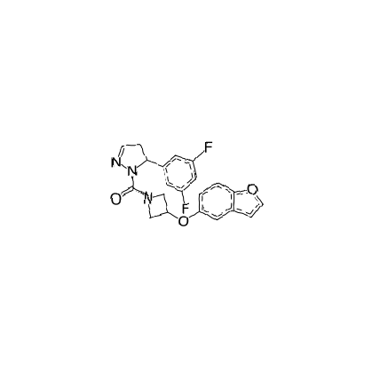 O=C(N1CC(Oc2ccc3occc3c2)C1)N1N=CCC1c1cc(F)cc(F)c1